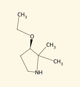 CCO[C@@H]1CCNC1(C)C